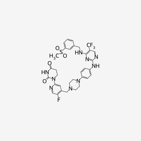 CS(=O)(=O)c1cccc(CNc2nc(Nc3ccc(N4CCN(Cc5cc(N6CCC(=O)NC6=O)ncc5F)CC4)cc3)ncc2C(F)(F)F)c1